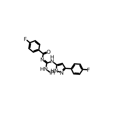 CC(C)N/C(=N/C(=O)c1ccc(F)cc1)Nc1cc(-c2ccc(F)cc2)n[nH]1